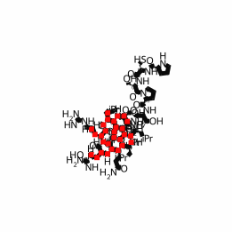 CC[C@H](C)[C@H](NC(=O)[C@@H](NC(=O)[C@@H]1CCCN1C(=O)[C@H](CO)NC(=O)[C@H](CS)NC(=O)[C@@H]1CCCN1)[C@@H](C)O)C(=O)N1CCC[C@H]1C(=O)N[C@@H](CC(C)C)C(=O)N[C@@H](CCC(N)=O)C(=O)N[C@@H](CC(=O)O)C(=O)N[C@@H](CS)C(=O)N[C@@H](CC(C)C)C(=O)N[C@@H](CO)C(=O)N[C@@H](CC(C)C)C(=O)N[C@@H](CC(C)C)C(=O)N[C@@H](CCCNC(=N)N)C(=O)N[C@@H](CCCNC(=N)N)C(=O)N[C@@H](C)C(=O)O